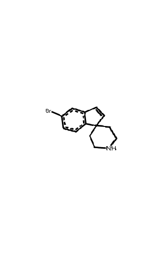 Brc1ccc2c(c1)C=CC21CCNCC1